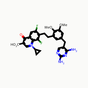 COc1cc(Cc2cnc(N)nc2N)cc(CCc2c(F)cc3c(=O)c(C(=O)O)cn(C4CC4)c3c2F)c1OC